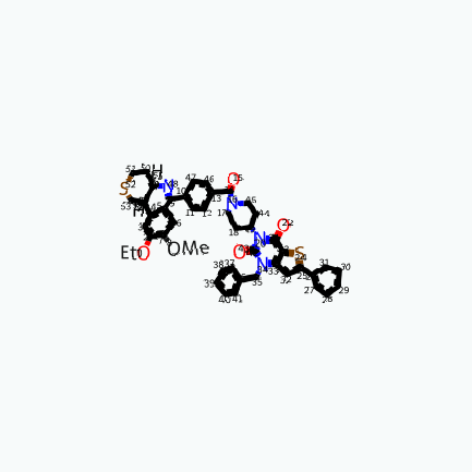 CCOc1cc2c(cc1OC)C(c1ccc(C(=O)N3CCC(n4c(=O)c5sc(-c6ccccc6)cc5n(Cc5ccccc5)c4=O)CC3)cc1)=N[C@@H]1CCSC[C@H]21